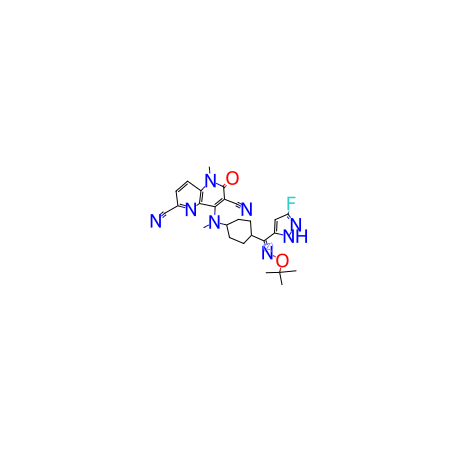 CN(c1c(C#N)c(=O)n(C)c2ccc(C#N)nc12)C1CCC(/C(=N/OC(C)(C)C)c2cc(F)n[nH]2)CC1